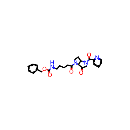 O=C(NCCCCC(=O)N1CCC2C1C(=O)CN2C(=O)c1ccccn1)OCc1ccccc1